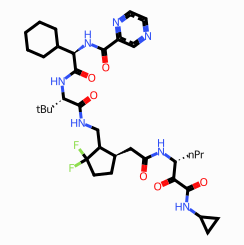 CCC[C@@H](NC(=O)C[C@H]1CCC(F)(F)C1CNC(=O)[C@@H](NC(=O)[C@H](NC(=O)c1cnccn1)C1CCCCC1)C(C)(C)C)C(=O)C(=O)NC1CC1